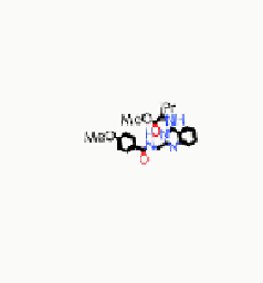 COC(=O)[C@@H](Nc1nc(CNC(=O)c2ccc(OC)cc2)nc2ccccc12)C(C)C